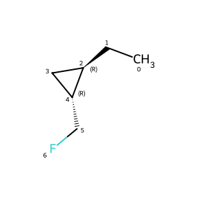 CC[C@@H]1C[C@H]1CF